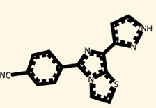 N#Cc1ccc(-c2nc(-c3cc[nH]n3)c3sccn23)cc1